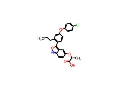 CCCc1cc(Oc2ccc(Cl)cc2)ccc1-c1onc2ccc(O[C@@H](C)C(=O)O)cc12